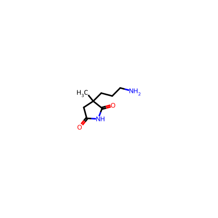 CC1(CCCN)CC(=O)NC1=O